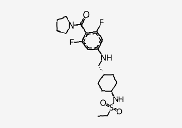 CCS(=O)(=O)N[C@H]1CC[C@H](CNc2cc(F)c(C(=O)N3CCCC3)c(F)c2)CC1